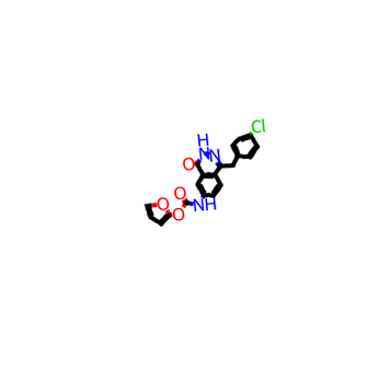 O=C(Nc1ccc2c(Cc3ccc(Cl)cc3)n[nH]c(=O)c2c1)Oc1ccco1